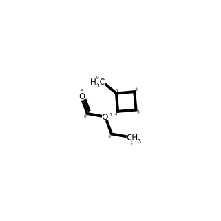 CC1CCC1.CCOC=O